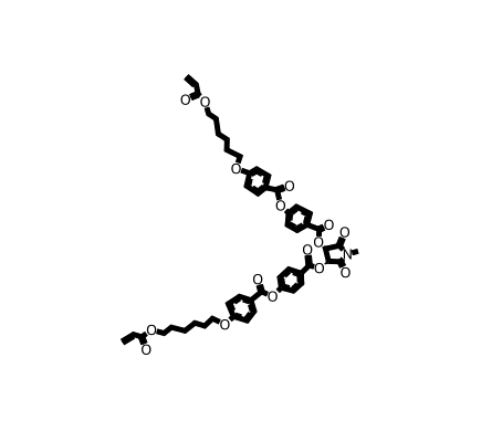 C=CC(=O)OCCCCCCOc1ccc(C(=O)Oc2ccc(C(=O)O[C@H]3C(=O)N(C)C(=O)[C@@H]3OC(=O)c3ccc(OC(=O)c4ccc(OCCCCCCOC(=O)C=C)cc4)cc3)cc2)cc1